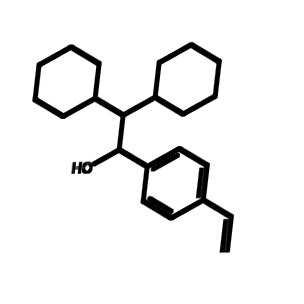 C=Cc1ccc(C(O)C(C2CCCCC2)C2CCCCC2)cc1